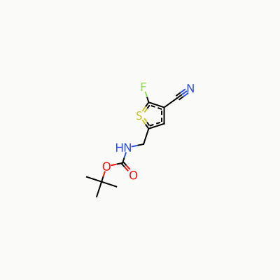 CC(C)(C)OC(=O)NCc1cc(C#N)c(F)s1